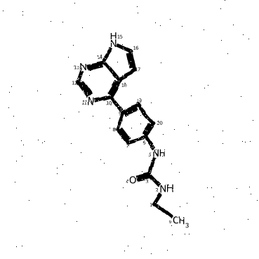 CCNC(=O)Nc1ccc(-c2ncnc3[nH]ccc23)cc1